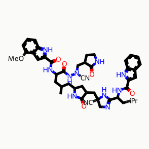 COc1cccc2[nH]c(C(=O)NC(CC(C)CC3CC(CC4(C#N)CN=C(C(CC(C)C)NC(=O)c5cc6ccccc6[nH]5)N4)C(=O)N3)C(=O)NN(C#N)CC3CCNC3=O)cc12